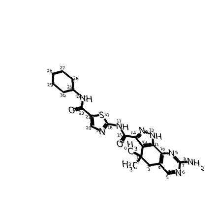 CC1(C)Cc2cnc(N)nc2-c2[nH]nc(C(=O)Nc3ncc(C(=O)NC4CCCCC4)s3)c21